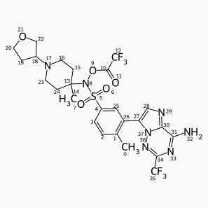 Cc1ccc(S(=O)(=O)N(OC(=O)C(F)(F)F)C2(C)CCN(C3CCOC3)CC2)cc1-c1cnc2c(N)nc(C(F)(F)F)nn12